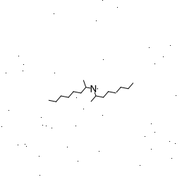 CCCCCCC(C)[N]C(C)CCCCCC